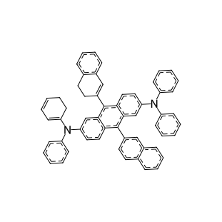 C1=CCCC(N(c2ccccc2)c2ccc3c(-c4ccc5ccccc5c4)c4cc(N(c5ccccc5)c5ccccc5)ccc4c(C4=Cc5ccccc5CC4)c3c2)=C1